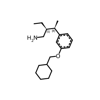 CC[C@H](CN)[C@@H](C)c1cccc(OCC2CCCCC2)c1